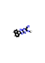 [C-]#[N+]c1nc2nc3c(nc2nc1C#N)-c1cccc2cccc-3c12